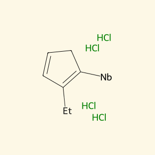 CCC1=[C]([Nb])CC=C1.Cl.Cl.Cl.Cl